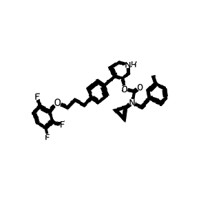 Cc1cccc(CN(C(=O)OC2CNCC=C2c2ccc(CCCOc3c(F)ccc(F)c3F)cc2)C2CC2)c1